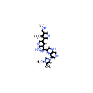 CCNCc1cncc(-c2cnc3[nH]nc(C4=Nc5c(cncc5N5C=C(C)N(C)C5)NC4)c3c2)c1C